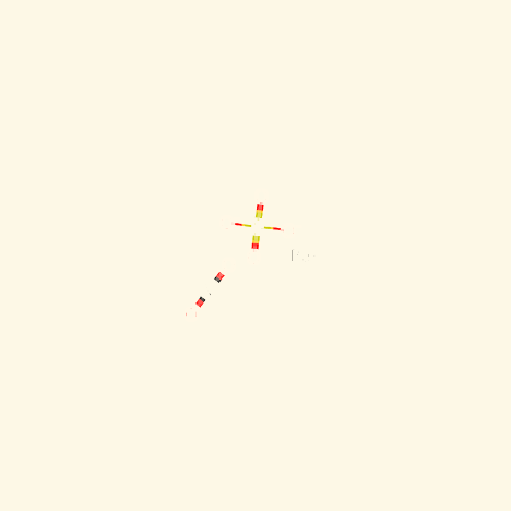 O=S(=O)([O-])[O-].[Ba+2].[O]=[V]=[O]